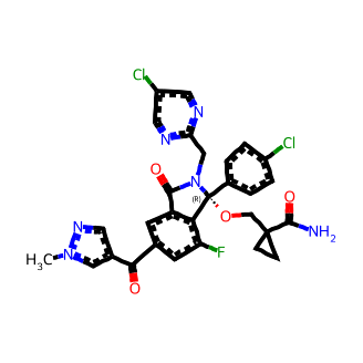 Cn1cc(C(=O)c2cc(F)c3c(c2)C(=O)N(Cc2ncc(Cl)cn2)[C@@]3(OCC2(C(N)=O)CC2)c2ccc(Cl)cc2)cn1